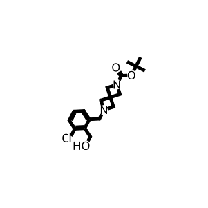 CC(C)(C)OC(=O)N1CC2(CN(Cc3cccc(Cl)c3CO)C2)C1